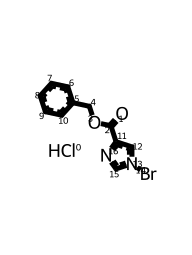 Cl.O=C(OCc1ccccc1)c1cn(Br)cn1